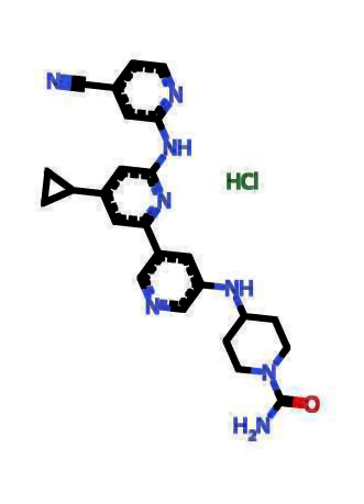 Cl.N#Cc1ccnc(Nc2cc(C3CC3)cc(-c3cncc(NC4CCN(C(N)=O)CC4)c3)n2)c1